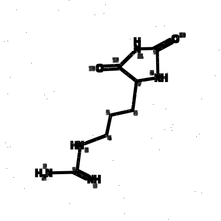 N=C(N)NCCCC1NC(=O)NC1=O